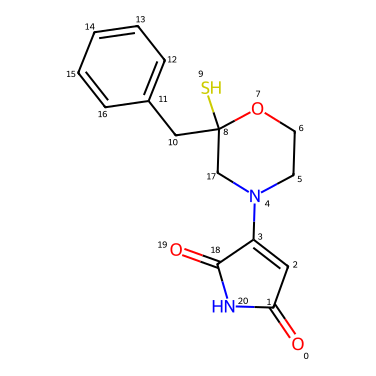 O=C1C=C(N2CCOC(S)(Cc3ccccc3)C2)C(=O)N1